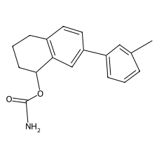 Cc1cccc(-c2ccc3c(c2)C(OC(N)=O)CCC3)c1